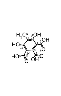 Cc1c(O)c(C(=O)O)c(C(=O)O)c(C(=O)O)c1O